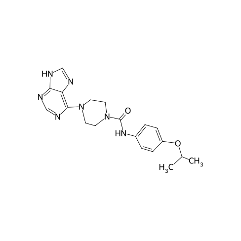 CC(C)Oc1ccc(NC(=O)N2CCN(c3ncnc4[nH]cnc34)CC2)cc1